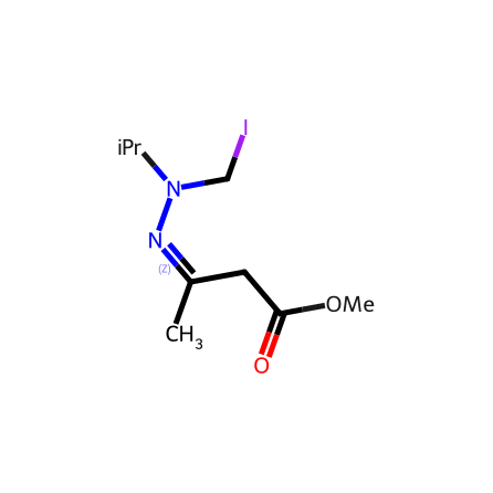 COC(=O)C/C(C)=N\N(CI)C(C)C